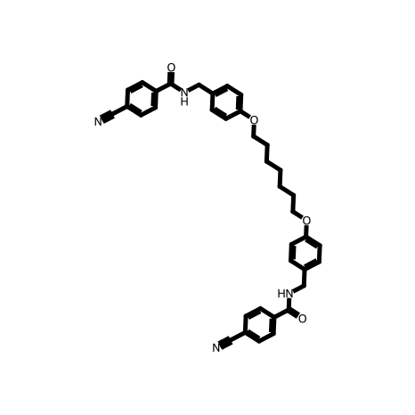 N#Cc1ccc(C(=O)NCc2ccc(OCCCCCCCOc3ccc(CNC(=O)c4ccc(C#N)cc4)cc3)cc2)cc1